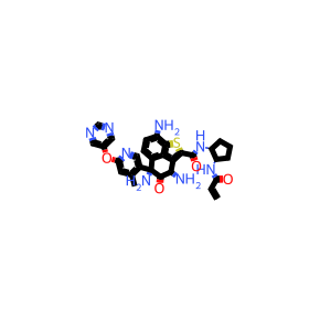 C=CC(=O)N[C@H]1CCC[C@H]1NC(=O)c1sc2c(N)ccc3c2c1C(N)C(=O)C3(N)c1cnc(Oc2cncnc2)cc1C